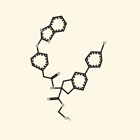 CCOC(=O)C1(NC(=O)Cc2ccc(Oc3nc4ccccc4s3)cc2)Cc2ccc(-c3ccc(Cl)cc3)cc2C1